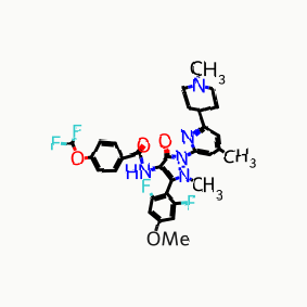 COc1cc(F)c(-c2c(NC(=O)c3ccc(OC(F)F)cc3)c(=O)n(-c3cc(C)cc(C4CCN(C)CC4)n3)n2C)c(F)c1